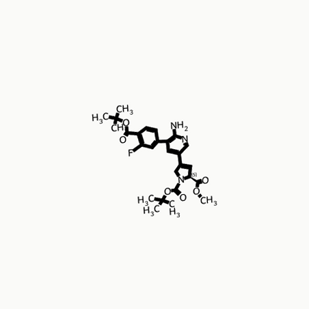 COC(=O)[C@@H]1C=C(c2cnc(N)c(-c3ccc(C(=O)OC(C)(C)C)c(F)c3)c2)CN1C(=O)OC(C)(C)C